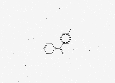 Cc1ccc(C(=O)N2CC=CCC2)cc1